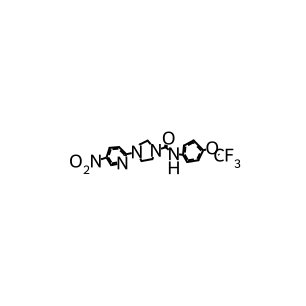 O=C(Nc1ccc(OC(F)(F)F)cc1)N1CCN(c2ccc([N+](=O)[O-])cn2)CC1